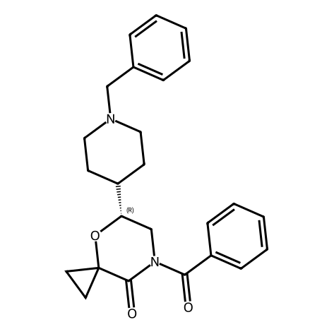 O=C(c1ccccc1)N1C[C@@H](C2CCN(Cc3ccccc3)CC2)OC2(CC2)C1=O